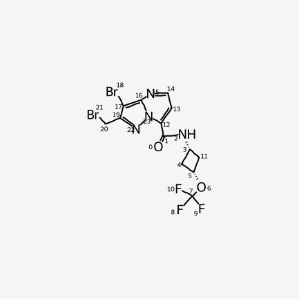 O=C(N[C@H]1C[C@@H](OC(F)(F)F)C1)c1ccnc2c(Br)c(CBr)nn12